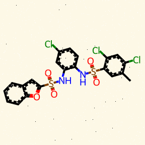 Cc1cc(S(=O)(=O)Nc2ccc(Cl)cc2NS(=O)(=O)c2cc3ccccc3o2)c(Cl)cc1Cl